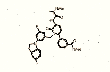 CNC(=O)c1cccc(-c2ccc(NC(=O)[C@H](C)NC)c(=O)n2Cc2cc(F)cc(N3CCc4cc(F)ccc43)c2)c1